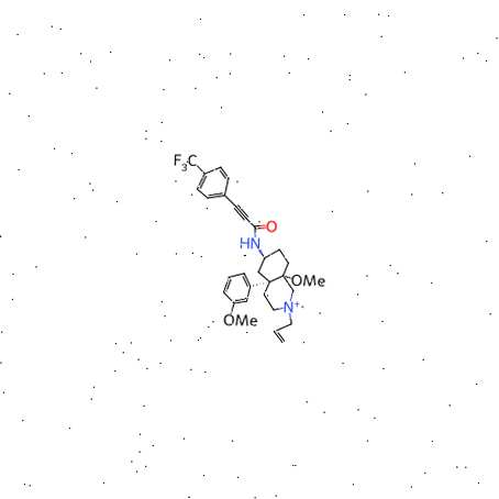 C=CC[N@@+]1(C)CC[C@@]2(c3cccc(OC)c3)C[C@@H](NC(=O)C#Cc3ccc(C(F)(F)F)cc3)CCC2(OC)C1